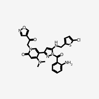 CN(C)c1cc(=O)n(CC(=O)c2cnoc2)cc1-c1cc(NCc2ccc(Cl)s2)n(C(=O)c2ccccc2N)n1